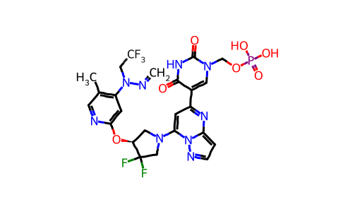 C=NN(CC(F)(F)F)c1cc(O[C@H]2CN(c3cc(-c4cn(COP(=O)(O)O)c(=O)[nH]c4=O)nc4ccnn34)CC2(F)F)ncc1C